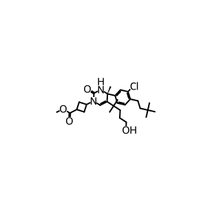 COC(=O)C1CC(N2C=C(C(C)(C)CCCO)[C@@](C)(c3ccc(CCC(C)(C)C)c(Cl)c3)NC2=O)C1